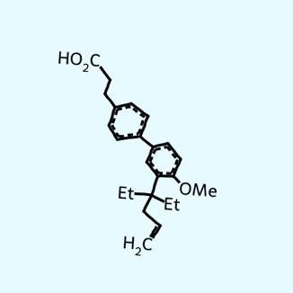 C=CCC(CC)(CC)c1cc(-c2ccc(CCC(=O)O)cc2)ccc1OC